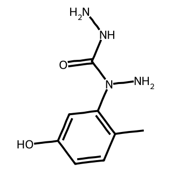 Cc1ccc(O)cc1N(N)C(=O)NN